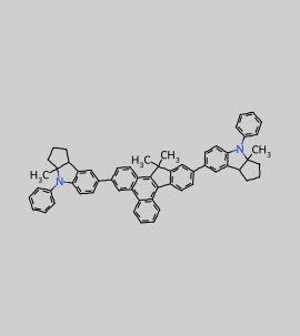 CC1(C)c2cc(-c3ccc4c(c3)C3CCCC3(C)N4c3ccccc3)ccc2-c2c1c1ccc(-c3ccc4c(c3)C3CCCC3(C)N4c3ccccc3)cc1c1ccccc21